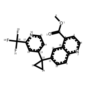 COC(=O)c1ccnc2ccc(C3(c4ccnc(C(F)(F)F)c4)CC3)cc12